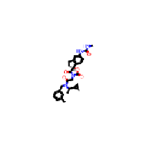 CNC(=O)Nc1ccc2c(c1)CC[C@@]21OC(=O)N(CC(=O)N(Cc2cccc(C)c2)C(C)C2CC2)C1=O